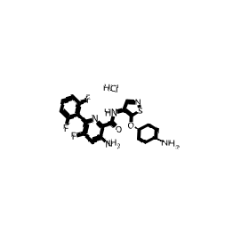 Cl.Nc1cc(F)c(-c2c(F)cccc2F)nc1C(=O)Nc1cnsc1O[C@H]1CC[C@H](N)CC1